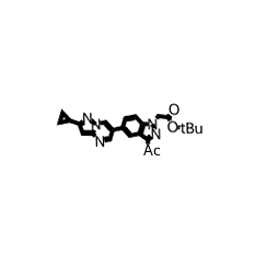 CC(=O)c1nn(CC(=O)OC(C)(C)C)c2ccc(-c3cnc4cc(C5CC5)nn4c3)cc12